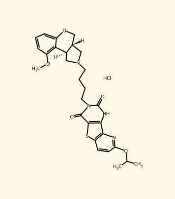 COc1cccc2c1[C@@H]1CN(CCCCn3c(=O)[nH]c4c(sc5ccc(OC(C)C)nc54)c3=O)C[C@H]1CO2.Cl